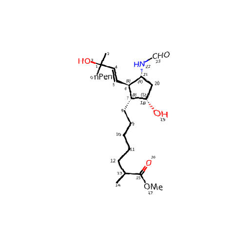 CCCCCC(C)(O)C=C[C@@H]1[C@@H](CCCCCC(C)C(=O)OC)[C@@H](O)C[C@H]1NC=O